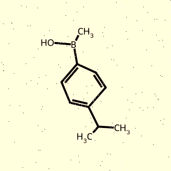 CB(O)c1ccc(C(C)C)cc1